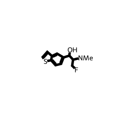 CNC(CF)C(O)c1ccc2sccc2c1